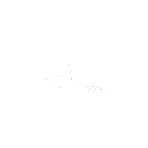 N#CC1OC2C=CC1C2